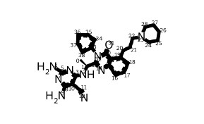 C[C@H](Nc1nc(N)nc(N)c1C#N)c1nc2cccc(CCCN3CCCCC3)c2c(=O)n1-c1ccccc1